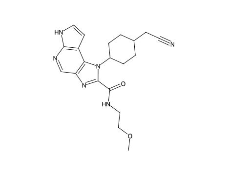 COCCNC(=O)c1nc2cnc3[nH]ccc3c2n1C1CCC(CC#N)CC1